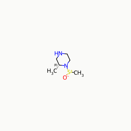 C[C@@H]1CNCCN1[S+](C)[O-]